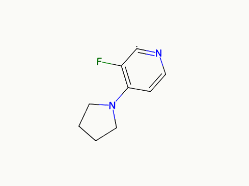 Fc1[c]nccc1N1CCCC1